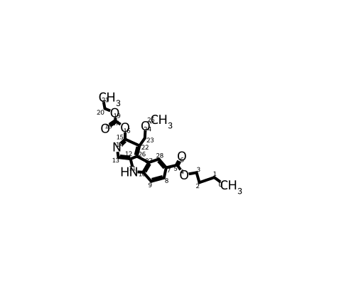 CCCCOC(=O)c1ccc2[nH]c3cnc(OC(=O)OCC)c(COC)c3c2c1